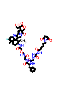 CC[C@@]1(O)C(=O)OCc2c1cc1n(c2=O)Cc2c-1nc1cc(F)c(C)c3c1c2C([SiH3])[C@@H](NC(=O)COCNC(=O)CNC(=O)[C@H](Cc1ccccc1)NC(=O)CNC(=O)CNC(=O)CCCCCN1C(=O)C=CC1=O)CC3